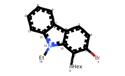 CCCCCCc1c(Br)ccc2c3ccccc3n(CC)c12